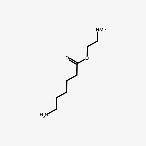 CNCCOC(=O)CCCCCN